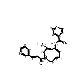 C\C1=C/C(NC(=O)c2ccncc2)=C\C=C\CCN(C(=O)/C=C/c2cccnc2)C1